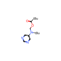 CC(C)(C)C(=O)OCN(c1cncnc1)C(C)(C)C